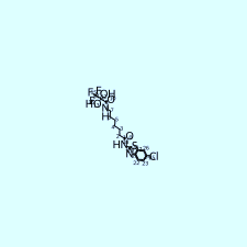 O=C(CCCCCCNC(=O)C(O)(O)C(F)(F)F)Nc1nc2ccc(Cl)cc2s1